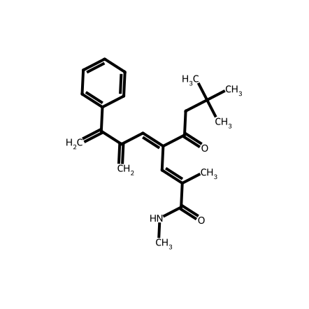 C=C(/C=C(\C=C(/C)C(=O)NC)C(=O)CC(C)(C)C)C(=C)c1ccccc1